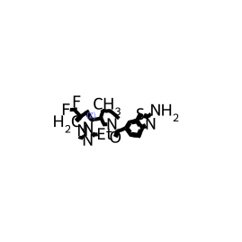 C=C(/C=C(/C1CN(C(=O)c2ccc3nc(N)sc3c2)CCC1C)n1ncnc1CC)C(F)F